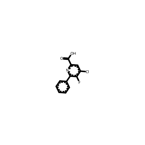 O=C(O)c1cc(Cl)c(F)c(-c2ccccc2)n1